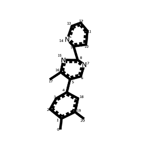 Cc1ccc(-c2cnc(-c3ccccn3)nc2C)cc1C